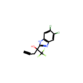 C#CCC(O)(c1nc2cc(Cl)c(Cl)cc2[nH]1)C(F)(F)F